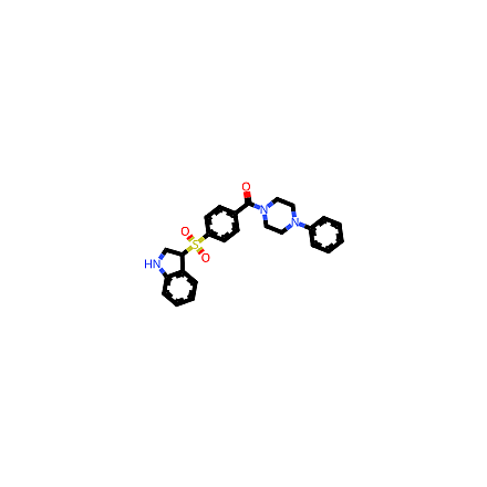 O=C(c1ccc(S(=O)(=O)C2CNc3ccccc32)cc1)N1CCN(c2ccccc2)CC1